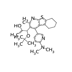 C=C(O)C(OC(C)(C)C)c1c(C)nc2sc3c(c2c1-c1ccc(N(C)C)nc1)CCCC3